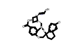 CCC/C=C/[C@@H]1CC[C@H]1CN1CC2(CCCc3cc(Cl)ccc32)COc2ccc(C(=O)OC)cc21